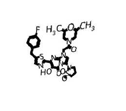 CC1CN(C(=O)Cn2cc(N3CCCS3(=O)=O)n3c(=O)c(O)c(-c4ncc(Cc5ccc(F)cc5)s4)nc23)CC(C)O1